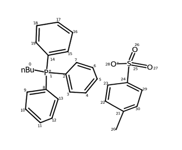 CCCC[P+](c1ccccc1)(c1ccccc1)c1ccccc1.Cc1ccc(S(=O)(=O)[O-])cc1